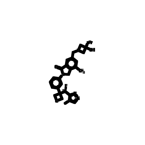 CCCC1(O)CN(Cc2cc3c(c(C(F)(F)F)c2)CN(c2cccc(C4([C@@H](F)c5nncn5C)COC4)c2)C3=O)C1